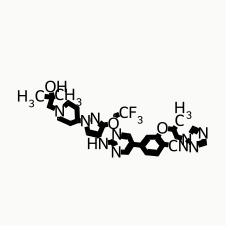 CC(Cn1cncn1)Oc1cc(-c2cnc(Nc3cn(C4CCN(CC(C)(C)O)CC4)nc3OCC(F)(F)F)nc2)ccc1C#N